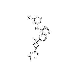 CC(C)(C)OC(=O)N1CC(C)(c2ccc3ncnc(Nc4cncc(Cl)c4)c3c2)C1